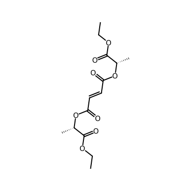 CCOC(=O)[C@H](C)OC(=O)/C=C/C(=O)O[C@@H](C)C(=O)OCC